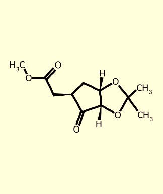 COC(=O)C[C@H]1C[C@@H]2OC(C)(C)O[C@@H]2C1=O